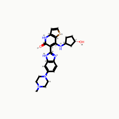 CN1CCN(c2ccc3nc(-c4c(NC5CC[C@H](O)C5)c5sccc5[nH]c4=O)[nH]c3c2)CC1